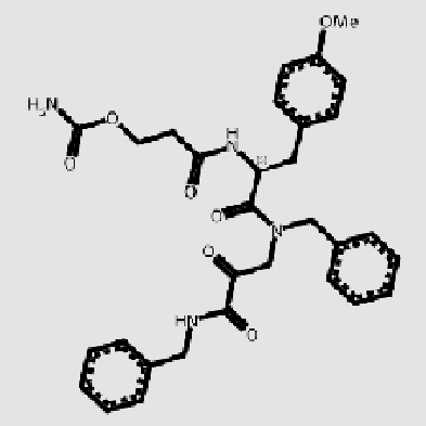 COc1ccc(C[C@H](NC(=O)[CH]COC(N)=O)C(=O)N(CC(=O)C(=O)NCc2ccccc2)Cc2ccccc2)cc1